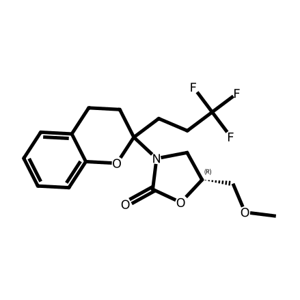 COC[C@H]1CN(C2(CCC(F)(F)F)CCc3ccccc3O2)C(=O)O1